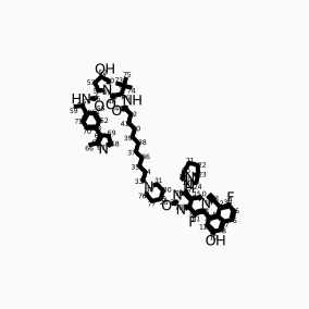 C#Cc1c(F)ccc2cc(O)cc(-c3ncc4c(N5CC6CCC(C5)N6)nc(OC5CCN(CCCCCCCCCCC(=O)N[C@H](C(=O)N6C[C@H](O)C[C@H]6C(=O)NC(C)c6ccc(C7=C(C)N=CC7)cc6)C(C)(C)C)CC5)nc4c3F)c12